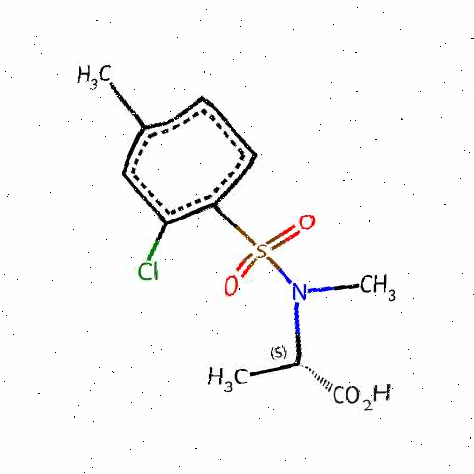 Cc1ccc(S(=O)(=O)N(C)[C@@H](C)C(=O)O)c(Cl)c1